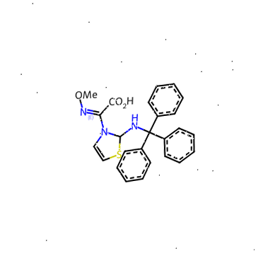 CO/N=C(\C(=O)O)N1C=CSC1NC(c1ccccc1)(c1ccccc1)c1ccccc1